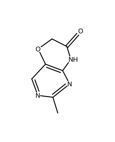 Cc1ncc2c(n1)NC(=O)CO2